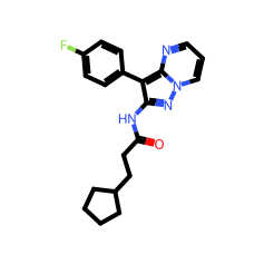 O=C(CCC1CCCC1)Nc1nn2cccnc2c1-c1ccc(F)cc1